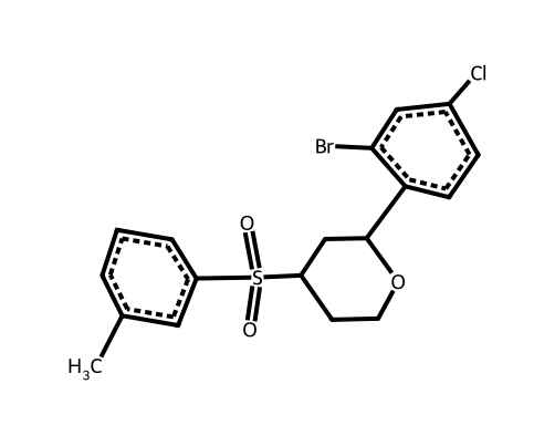 Cc1cccc(S(=O)(=O)C2CCOC(c3ccc(Cl)cc3Br)C2)c1